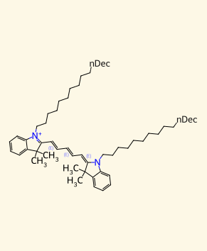 CCCCCCCCCCCCCCCCCCCCN1/C(=C/C=C/C=C/C2=[N+](CCCCCCCCCCCCCCCCCCCC)c3ccccc3C2(C)C)C(C)(C)c2ccccc21